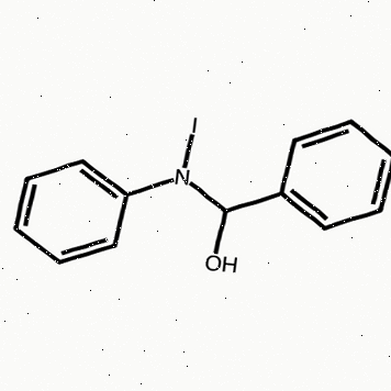 OC(c1ccccc1)N(I)c1ccccc1